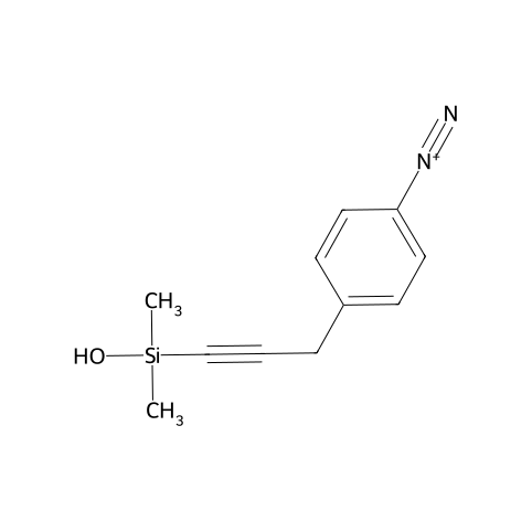 C[Si](C)(O)C#CCc1ccc([N+]#N)cc1